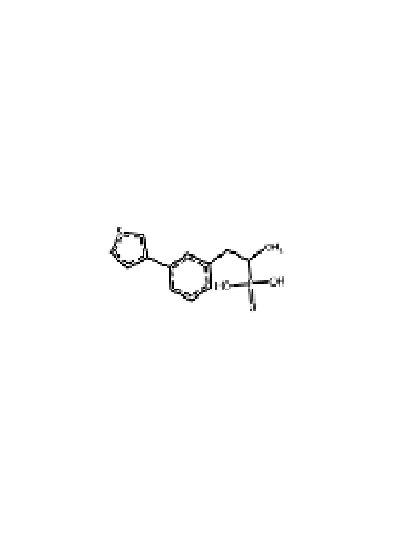 CC(Cc1cccc(-c2ccsc2)c1)P(=O)(O)O